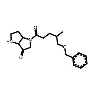 CC(CCC(=O)N1CC(=O)C2NCCC21)COCc1ccccc1